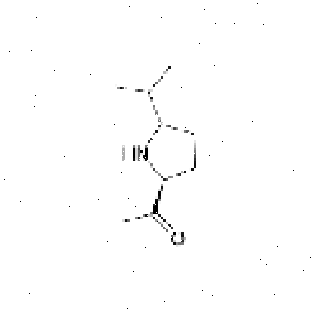 CC(=O)[C@@H]1CCC(C(C)C)N1